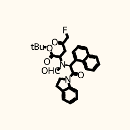 CC(C)(C)OC(=O)C(CC(=O)CF)N(C=O)[C@H](C(=O)N1CCc2ccccc21)c1cccc2ccccc12